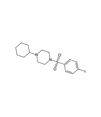 O=S(=O)(c1ccc(I)cc1)N1CCN(C2CCCCC2)CC1